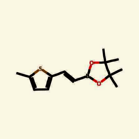 Cc1ccc(/C=C/B2OC(C)(C)C(C)(C)O2)s1